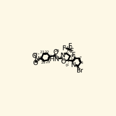 C[C@@]1(c2nc(Br)ccc2F)C[C@@H](C(F)(F)F)N=C(NC(=O)c2ccc([N+](=O)[O-])cc2)O1